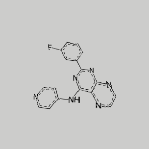 Fc1cccc(-c2nc(Nc3ccncc3)c3nccnc3n2)c1